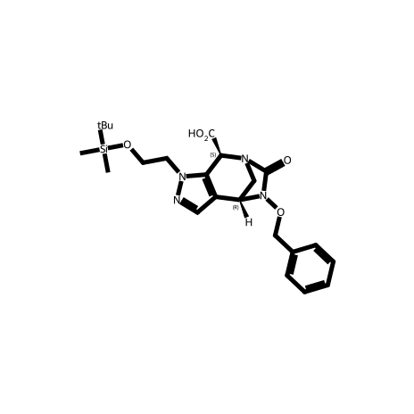 CC(C)(C)[Si](C)(C)OCCn1ncc2c1[C@@H](C(=O)O)N1C[C@@H]2N(OCc2ccccc2)C1=O